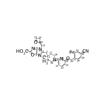 CC1(Cc2nc3oc(C(=O)O)nc3n2C[C@@H]2CCO2)CCN(c2cccc(OCc3ccc(C#N)cc3F)n2)CC1